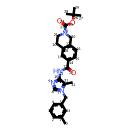 Cc1cccc(Cn2cnc(NC(=O)c3ccc4c(c3)CCN(C(=O)OC(C)(C)C)C4)c2C)c1